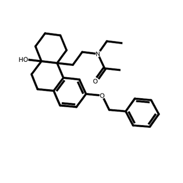 CCN(CCC12CCCCC1(O)CCc1ccc(OCc3ccccc3)cc12)C(C)=O